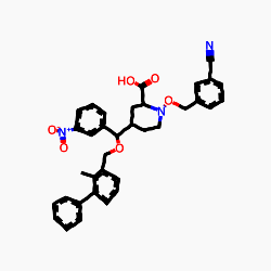 Cc1c(COC(c2cccc([N+](=O)[O-])c2)C2CCN(OCc3cccc(C#N)c3)C(C(=O)O)C2)cccc1-c1ccccc1